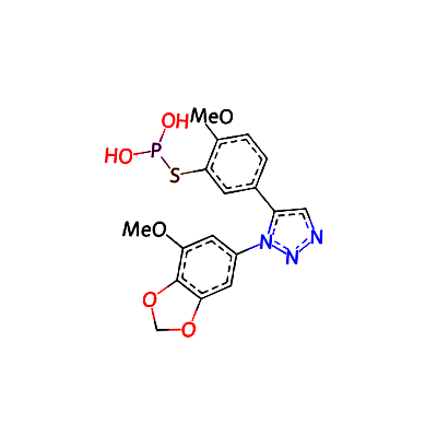 COc1ccc(-c2cnnn2-c2cc(OC)c3c(c2)OCO3)cc1SP(O)O